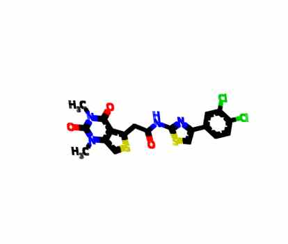 Cn1c(=O)c2c(CC(=O)Nc3nc(-c4ccc(Cl)c(Cl)c4)cs3)scc2n(C)c1=O